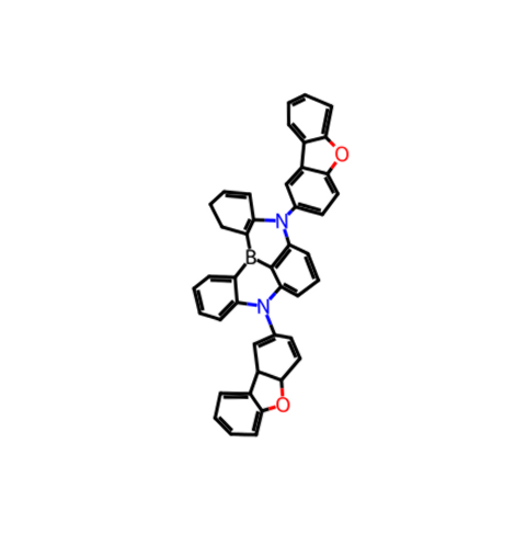 C1=CC2=C(CC1)B1c3ccccc3N(C3=CC4c5ccccc5OC4C=C3)c3cccc(c31)N2c1ccc2oc3ccccc3c2c1